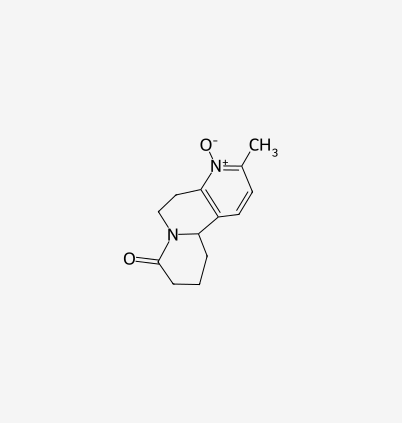 Cc1ccc2c([n+]1[O-])CCN1C(=O)CCCC21